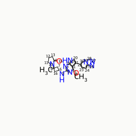 COc1nc(N[C@H]2C[C@@](C)(N3CCCC3=O)C2)nc2[nH]cc(-c3ccc4nncn4c3)c12